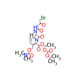 CC(C)OC(=O)OC(C)OC(=O)C1=C(COC(=O)N(C)C)CS[C@H]2C(NC(=O)CC(=O)CBr)C(=O)N12